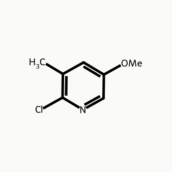 COc1cnc(Cl)c(C)c1